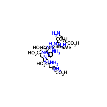 CC(C)CC(N)C(=O)O.CCC(C)C(N)C(=O)O.CSCCC(N)C(=O)O.NC(Cc1c[nH]cn1)C(=O)O.NC(Cc1ccccc1)C(=O)O.NCC(=O)O.NCCCCC(N)C(=O)O